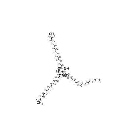 CCCCCCCC/C=C\CCCCCCCC(=O)OC(O)(C(O)C(=O)CCCCCCCCCCCCCCCCC)C(O)C(=O)CCCCCCCCCCCCCCCCC